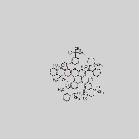 Cc1cc2c(cc1N1c3cc4c(cc3B3c5cc6c(cc5N(c5ccc(C(C)(C)C)cc5-c5ccccc5)c5cc(N7c8ccccc8C8(C)CCCCC78C)cc1c53)C(C)(C)c1ccccc1C6(C)C)C(C)(C)c1ccccc1C4(C)C)C(C)(C)CCC2(C)C